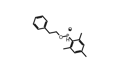 Cc1cc(C)c([PH](=O)OCCc2ccccc2)c(C)c1